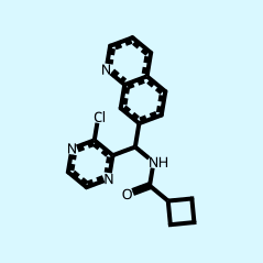 O=C(NC(c1ccc2cccnc2c1)c1nccnc1Cl)C1CCC1